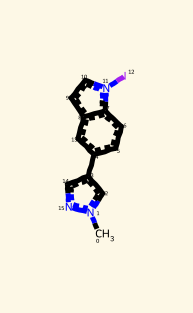 Cn1cc(-c2ccc3c(ccn3I)c2)cn1